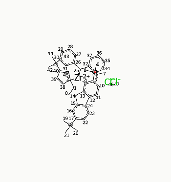 CC[C]1([Zr+2]([c]2c(C(C)(C)C)ccc3c2Cc2cc(C(C)(C)C)ccc2-3)[CH](c2ccccc2)c2ccccc2)C=CC(C(C)(C)C)=C1.[Cl-].[Cl-]